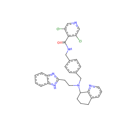 O=C(NCc1ccc(CN(CCc2nc3ccccc3[nH]2)C2CCCc3cccnc32)cc1)c1c(Cl)cncc1Cl